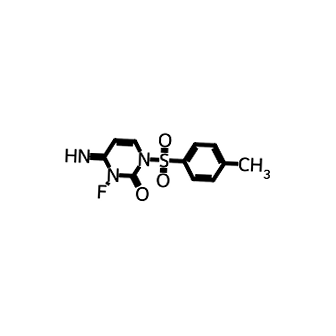 Cc1ccc(S(=O)(=O)n2ccc(=N)n(F)c2=O)cc1